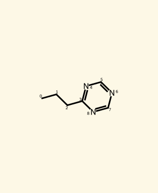 CCCc1n[c]ncn1